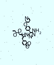 C=CC(=O)C(=O)C=CC(=Cc1ccc2c(c1)OCO2)CNc1ncnc(N)c1-c1ccc(Oc2cccnc2)cc1